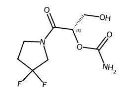 NC(=O)O[C@@H](CO)C(=O)N1CCC(F)(F)C1